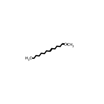 C=C=CCCCC=CCCCCCCC